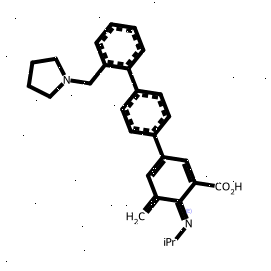 C=C1C=C(c2ccc(-c3ccccc3CN3CCCC3)cc2)C=C(C(=O)O)/C1=N/C(C)C